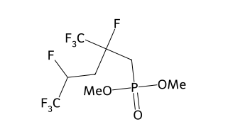 COP(=O)(CC(F)(CC(F)C(F)(F)F)C(F)(F)F)OC